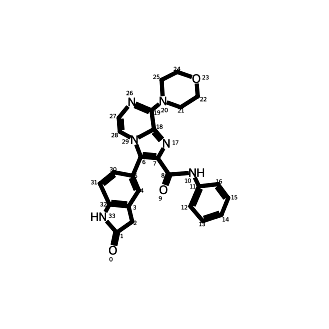 O=C1Cc2cc(-c3c(C(=O)Nc4ccccc4)nc4c(N5CCOCC5)nccn34)ccc2N1